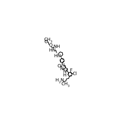 COCCOCC(=N)NCC[C@@H]1CCC[C@@H](c2ccc(-n3cc4cc(-c5cc(CCC[C@H](C)N)cc(Cl)c5F)[nH]c4nc3=O)cc2)N1